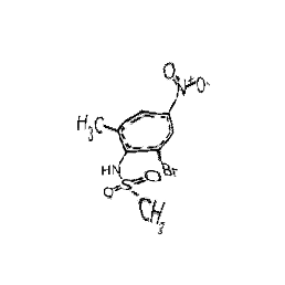 Cc1cc([N+](=O)[O-])cc(Br)c1NS(C)(=O)=O